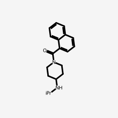 CC(C)NC1CCN(C(=O)c2cccc3ccccc23)CC1